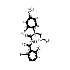 COCN(C(=O)NC(=O)c1c(F)cccc1Cl)c1ccc(SC)cc1F